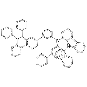 c1ccc(-c2cccc(N(c3cccc(-c4ccc5c(c4)c(-c4ccccc4)c(-c4ccccc4)c4ccccc45)c3)c3cccc4c5ccccc5n(-c5cccc6ccccc56)c34)c2)cc1